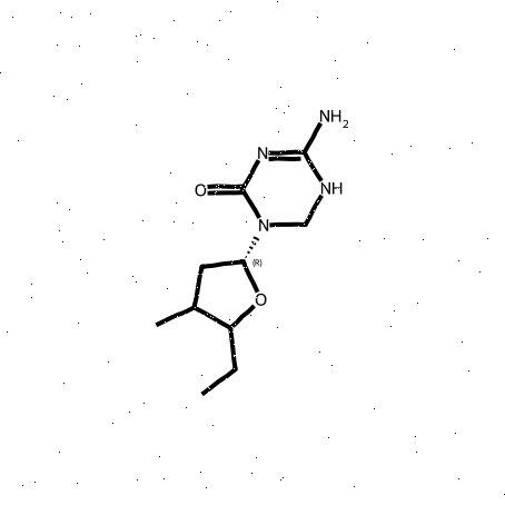 CCC1O[C@@H](N2CNC(N)=NC2=O)CC1C